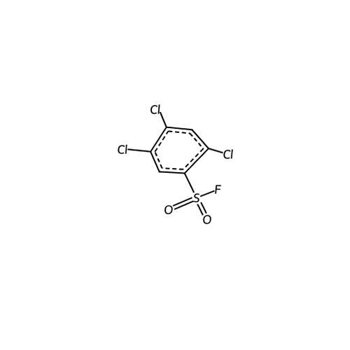 O=S(=O)(F)c1cc(Cl)c(Cl)cc1Cl